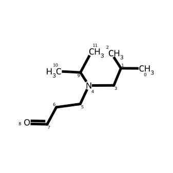 CC(C)CN(CCC=O)C(C)C